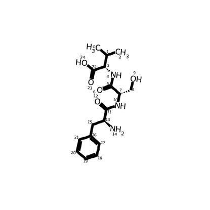 CC(C)[C@H](NC(=O)[C@H](CO)NC(=O)[C@@H](N)Cc1ccccc1)C(=O)O